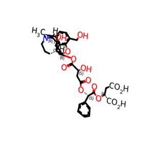 CN1CCC[C@]23c4c5ccc(CO)c4O[C@H]2C(OC(=O)[C@@H](O)CC(=O)O[C@H](C(=O)O[C@H](CC(=O)O)C(=O)O)c2ccccc2)=CC[C@@]3(O)[C@H]1C5